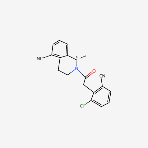 C[C@H]1c2cccc(C#N)c2CCN1C(=O)Cc1c(Cl)cccc1C#N